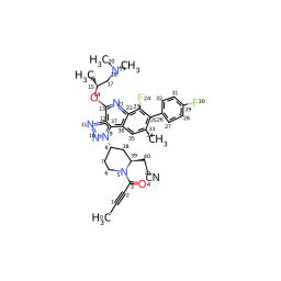 CC#CC(=O)N1CC[C@H](n2nnc3c(O[C@@H](C)CN(C)C)nc4c(F)c(-c5ccc(F)cc5)c(C)cc4c32)C[C@H]1CC#N